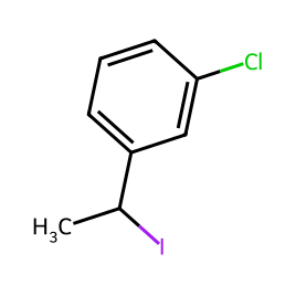 CC(I)c1cccc(Cl)c1